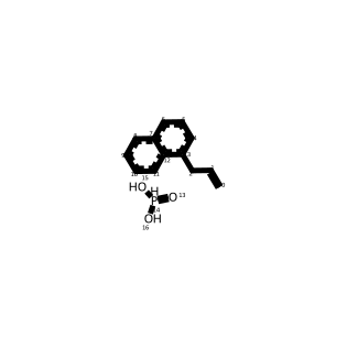 C=CCc1cccc2ccccc12.O=[PH](O)O